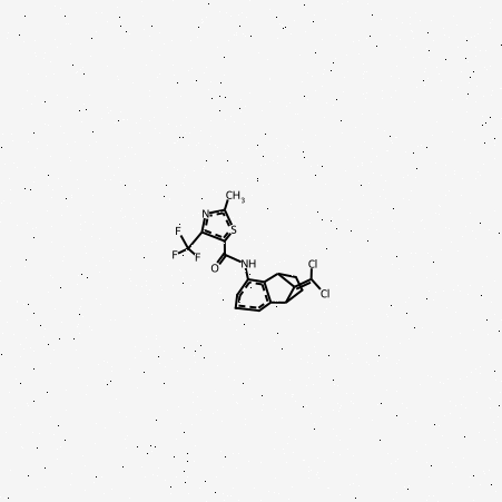 Cc1nc(C(F)(F)F)c(C(=O)Nc2cccc3c2C2CCC3C2=C(Cl)Cl)s1